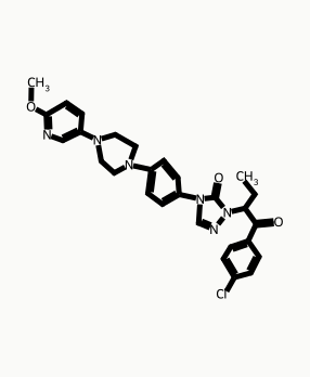 CCC(C(=O)c1ccc(Cl)cc1)n1ncn(-c2ccc(N3CCN(c4ccc(OC)nc4)CC3)cc2)c1=O